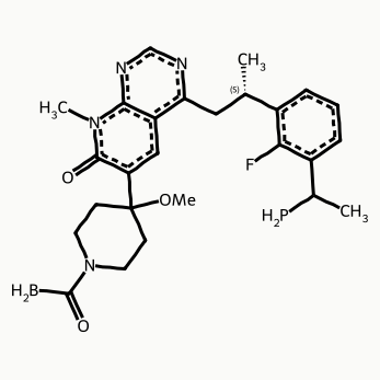 BC(=O)N1CCC(OC)(c2cc3c(C[C@H](C)c4cccc(C(C)P)c4F)ncnc3n(C)c2=O)CC1